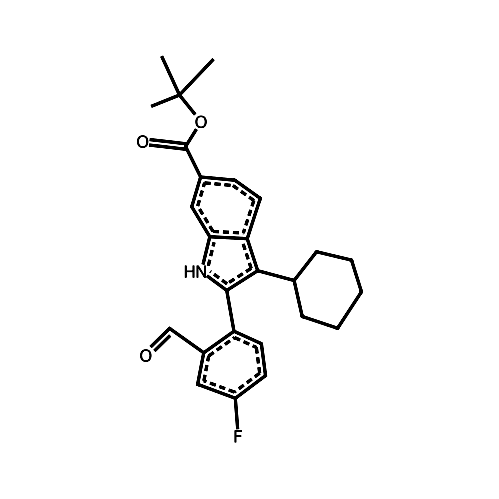 CC(C)(C)OC(=O)c1ccc2c(C3CCCCC3)c(-c3ccc(F)cc3C=O)[nH]c2c1